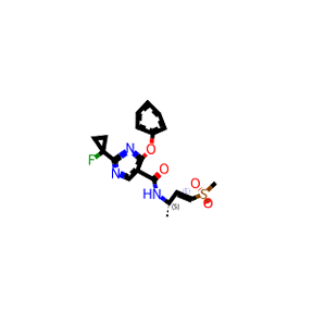 C[C@@H](/C=C/S(C)(=O)=O)NC(=O)c1cnc(C2(F)CC2)nc1Oc1ccccc1